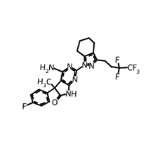 CC1(c2ccc(F)cc2)C(=O)Nc2nc(-n3nc(CCC(F)(F)C(F)(F)F)c4c3CCCC4)nc(N)c21